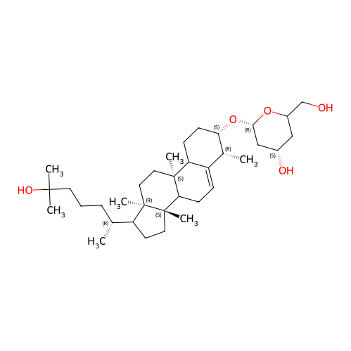 C[C@H](CCCC(C)(C)O)C1CC[C@@]2(C)C3CC=C4C(CC[C@H](O[C@H]5C[C@@H](O)CC(CO)O5)[C@@H]4C)[C@]3(C)CC[C@]12C